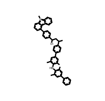 CCC(CC(C)c1ccc(-c2cc(C)c(Bc3c(C)cc(-c4ccccc4)cc3C)c(C)c2)cc1)c1ccc(-c2cccc3c2c2ccccc2n3C)cc1